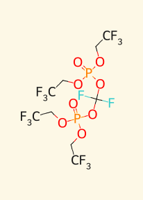 O=P(OCC(F)(F)F)(OCC(F)(F)F)OC(F)(F)OP(=O)(OCC(F)(F)F)OCC(F)(F)F